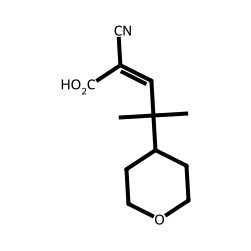 CC(C)(C=C(C#N)C(=O)O)C1CCOCC1